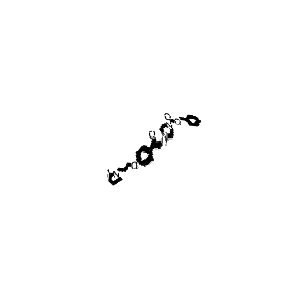 C[C@@H]1CCCN1CCCOc1ccc(C(=O)CN2CCN(C(=O)OCc3ccccc3)CC2)cc1